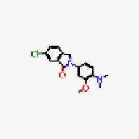 COc1cc(N2Cc3ccc(Cl)cc3C2=O)ccc1N(C)C